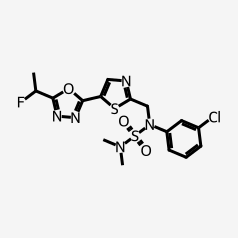 CC(F)c1nnc(-c2cnc(CN(c3cccc(Cl)c3)S(=O)(=O)N(C)C)s2)o1